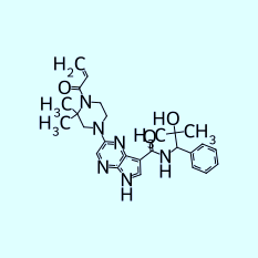 C=CC(=O)N1CCN(c2cnc3[nH]cc(C(=O)NC(c4ccccc4)C(C)(C)O)c3n2)CC1(C)C